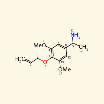 C=CCOc1c(OC)cc(C(C)N)cc1OC